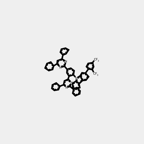 FC(F)(F)c1ccc(-c2ccc3c4ccccc4n(-c4ccc(-c5nc(-c6ccccc6)cc(-c6ccccc6)n5)cc4-c4cc(-c5ccccc5)nc(-c5ccccc5)n4)c3c2)c(C(F)(F)F)c1